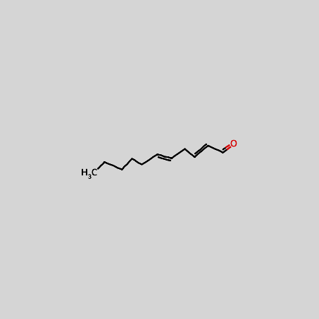 CCCCCC=CCC=CC=O